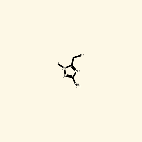 Cn1nc(N)nc1CF